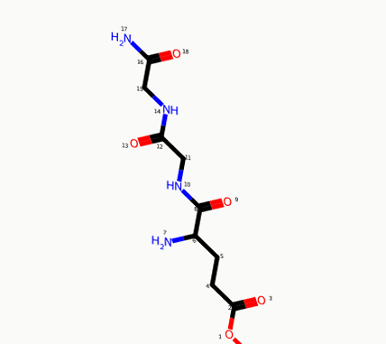 CC(C)(C)OC(=O)CCC(N)C(=O)NCC(=O)NCC(N)=O